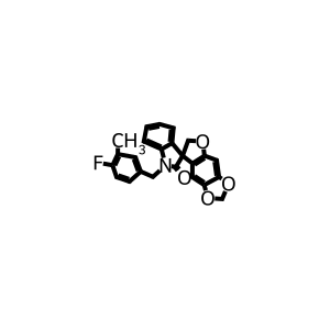 Cc1cc(CN2C(=O)C3(COc4cc5c(cc43)OCO5)c3ccccc32)ccc1F